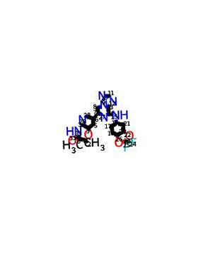 CC1(C)Oc2cc(-c3cn4ncnc4c(Nc4ccc5c(c4)OC(F)(F)O5)n3)cnc2NC1=O